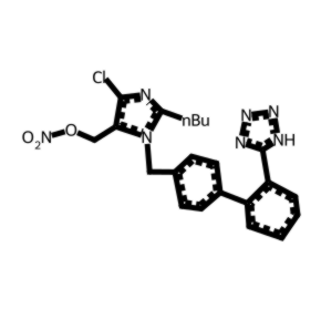 CCCCc1nc(Cl)c(CO[N+](=O)[O-])n1Cc1ccc(-c2ccccc2-c2nnn[nH]2)cc1